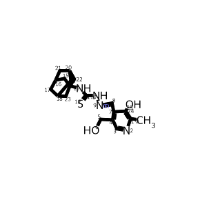 Cc1ncc(CO)c(/C=N/NC(=S)NC23CC4CC(CC(C4)C2)C3)c1O